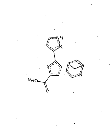 COC(=O)c1ccc(-c2cc[nH]n2)s1.c1cc2cc(n1)C2